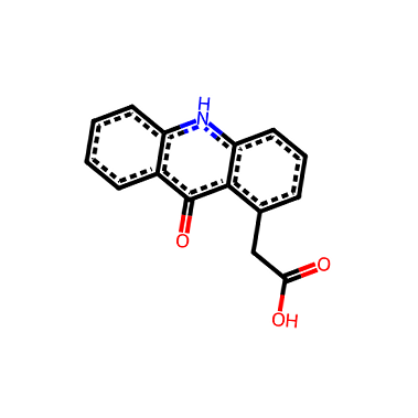 O=C(O)Cc1cccc2[nH]c3ccccc3c(=O)c12